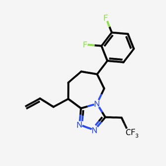 C=CCC1CCC(c2cccc(F)c2F)Cn2c(CC(F)(F)F)nnc21